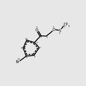 O=C(COSC(F)(F)F)c1ccc(Br)cc1